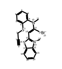 C#CCSc1ccccc1N(C)/C(C)=C/c1sc2ccccc2[n+]1C.[Br-]